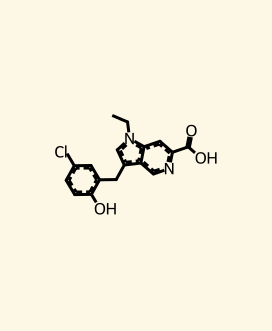 CCn1cc(Cc2cc(Cl)ccc2O)c2cnc(C(=O)O)cc21